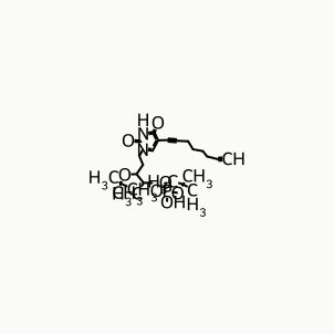 C#CCCCCC#Cc1cn(CCC(OC(C)(C)C)C(C)COP(=O)(O)OC(C)(C)C)c(=O)[nH]c1=O